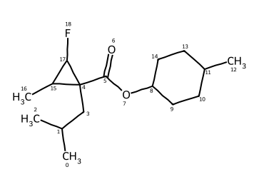 CC(C)CC1(C(=O)OC2CCC(C)CC2)C(C)C1F